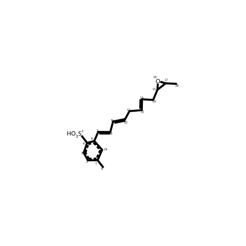 Cc1ccc(S(=O)(=O)O)c(/C=C/C=C/C/C=C/CC2OC2C)c1